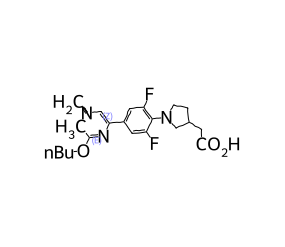 C=N/C=C(\N=C(/C)OCCCC)c1cc(F)c(N2CCC(CC(=O)O)C2)c(F)c1